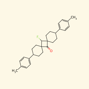 Cc1ccc(C2CCC3(CC2)C(=O)C2(CCC(c4ccc(C)cc4)CC2)C3F)cc1